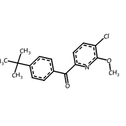 COc1nc(C(=O)c2ccc(C(C)(C)C)cc2)ccc1Cl